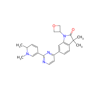 CC1C=CC(c2nccc(-c3ccc4c(c3)N(C3COC3)C(=O)C4(C)C)n2)=CN1C